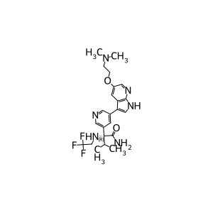 CC(C)[C@](NCC(F)(F)F)(C(N)=O)c1cncc(-c2c[nH]c3ncc(OCCN(C)C)cc23)c1